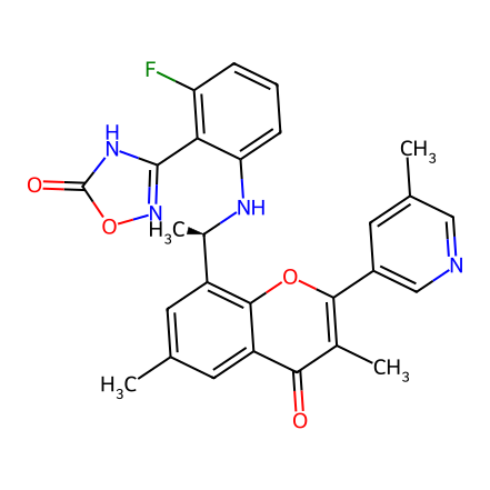 Cc1cncc(-c2oc3c([C@@H](C)Nc4cccc(F)c4-c4noc(=O)[nH]4)cc(C)cc3c(=O)c2C)c1